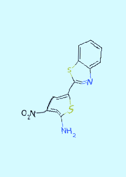 Nc1sc(-c2nc3ccccc3s2)cc1[N+](=O)[O-]